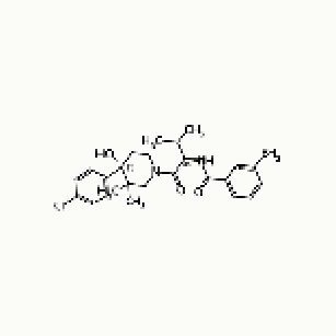 Bc1cccc(C(=O)N[C@@H](C(=O)N2CC[C@](O)(c3ccc(Cl)cc3)C(C)(C)C2)C(C)C)c1